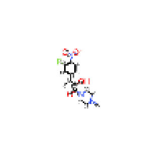 C[C@@H](c1ccc([N+](=O)[O-])c(F)c1)[C@@H](O)C(=O)N1CCN(C)CC1